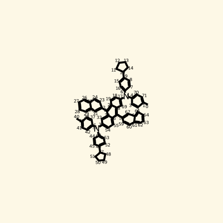 Cc1ccc(N(c2ccc(C3CCCC3)cc2)c2ccc3c(-c4ccc5ccccc5c4)c4cc(N(c5ccc(C)cc5)c5ccc(C6CCCC6)cc5)ccc4c(-c4ccc5ccccc5c4)c3c2)cc1